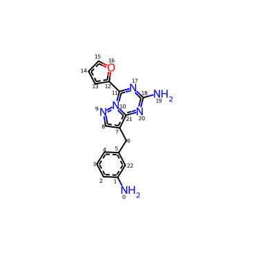 Nc1cccc(Cc2cnn3c(-c4ccco4)nc(N)nc23)c1